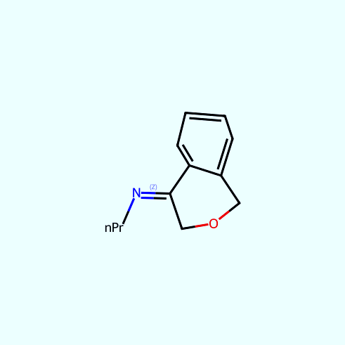 CCC/N=C1\COCc2ccccc21